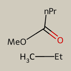 CCC.CCCC(=O)OC